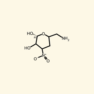 NCC1CC([N+](=O)[O-])C(O)[C@H](O)O1